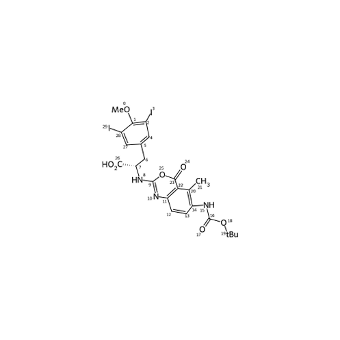 COc1c(I)cc(C[C@H](Nc2nc3ccc(NC(=O)OC(C)(C)C)c(C)c3c(=O)o2)C(=O)O)cc1I